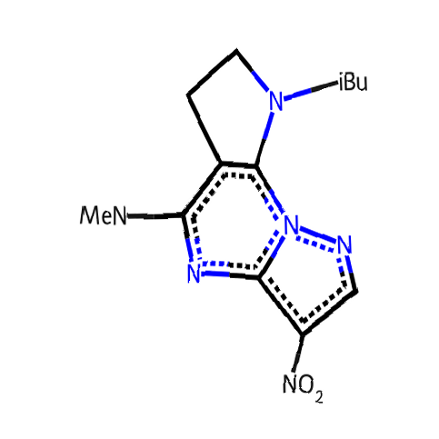 CCC(C)N1CCc2c(NC)nc3c([N+](=O)[O-])cnn3c21